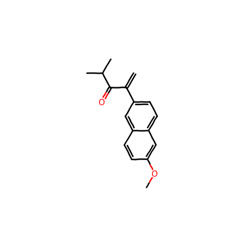 C=C(C(=O)C(C)C)c1ccc2cc(OC)ccc2c1